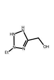 CCN1N=C(CO)NN1